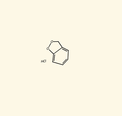 Cl.c1ccc2c(c1)COO2